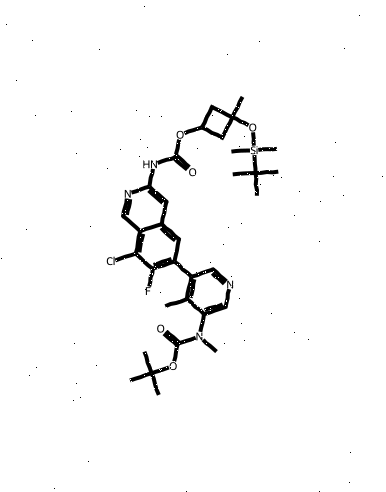 Cc1c(-c2cc3cc(NC(=O)OC4CC(C)(O[Si](C)(C)C(C)(C)C)C4)ncc3c(Cl)c2F)cncc1N(C)C(=O)OC(C)(C)C